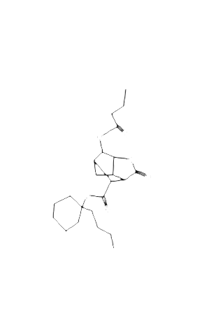 [CH2]CCC(=O)OC1C2CC3C1OC(=O)C3C2C(=O)OC1(CCCC)CCCCC1